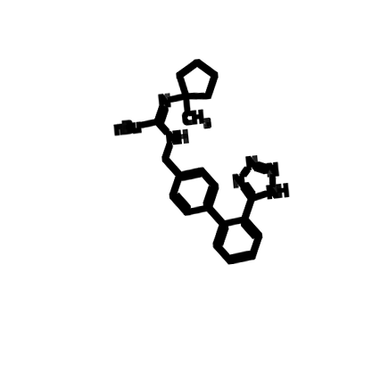 CCCC/C(=N/C1(C)CCCC1)NCc1ccc(-c2ccccc2-c2nnn[nH]2)cc1